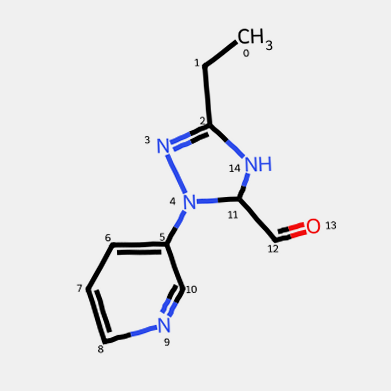 CCC1=NN(c2cccnc2)C(C=O)N1